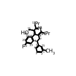 Cc1cccc(CCc2c(C(C)C)nc(C(C)C)c(CO)c2-c2ccc(F)cc2)c1